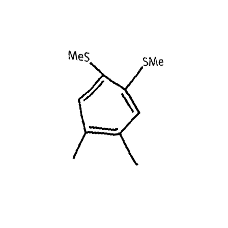 CSc1cc(C)c(C)cc1SC